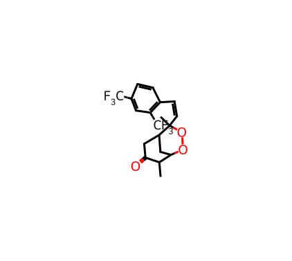 CC1C(=O)CC2CC1OOC2(C)/C=C\c1ccc(C(F)(F)F)cc1C(F)(F)F